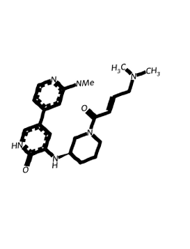 CNc1cc(-c2c[nH]c(=O)c(N[C@@H]3CCCN(C(=O)/C=C/CN(C)C)C3)c2)ccn1